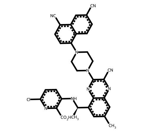 Cc1cc([C@@H](C)Nc2ccc(Cl)nc2C(=O)O)c2nc(N3CCN(c4ccc(C#N)c5cc(C#N)ccc45)CC3)c(C#N)nc2c1